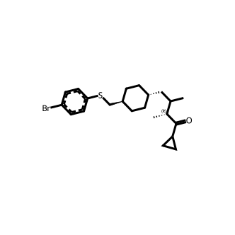 CC(C[C@H]1CC[C@H](CSc2ccc(Br)cc2)CC1)[C@@H](C)C(=O)C1CC1